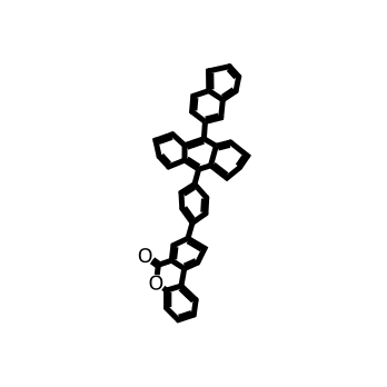 O=c1oc2ccccc2c2ccc(-c3ccc(-c4c5ccccc5c(-c5ccc6ccccc6c5)c5ccccc45)cc3)cc12